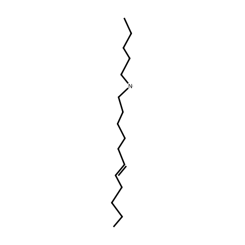 CCCC/C=C/CCCCC[N]CCCCC